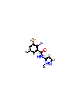 Cc1cc(Br)c(I)c(C(=O)Nc2ccnn2C)c1